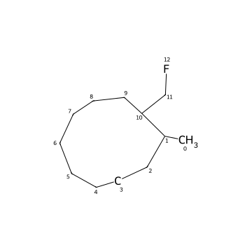 CC1CCCCCCCCC1CF